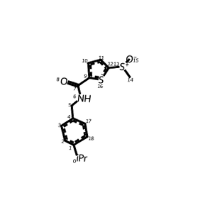 CC(C)c1ccc(CNC(=O)c2ccc([S+](C)[O-])s2)cc1